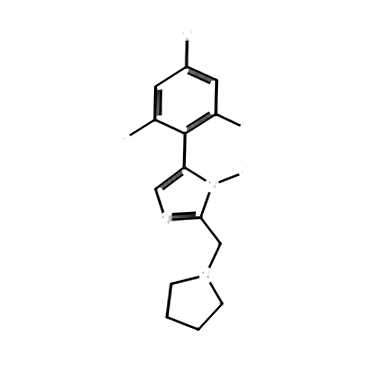 Cn1c(-c2c(F)cc(O)cc2F)cnc1CN1CCCC1